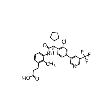 Cc1c(CCC(=O)O)cccc1NC(=O)[C@@H](c1ccc(-c2cncc(C(F)(F)F)c2)cc1Cl)C1CCCC1